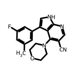 Cc1cc(F)cc(-c2c[nH]c3ncc(C#N)c(N4CCOCC4)c23)c1